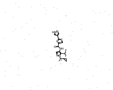 C[C@H](C1CC1)n1ncc(NC(=O)c2csc(-c3cn[nH]c3)n2)c1C(F)F